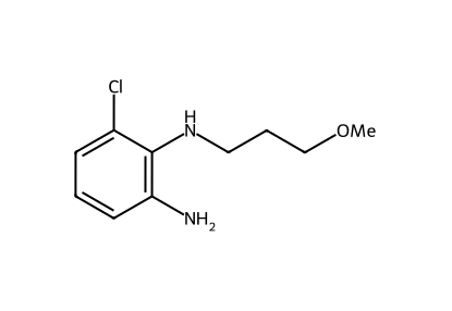 COCCCNc1c(N)cccc1Cl